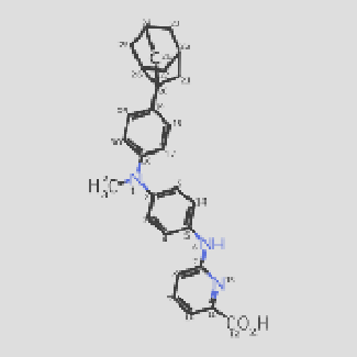 CN(c1ccc(Nc2cccc(C(=O)O)n2)cc1)c1ccc(C23CC4CC(CC2C4)C3)cc1